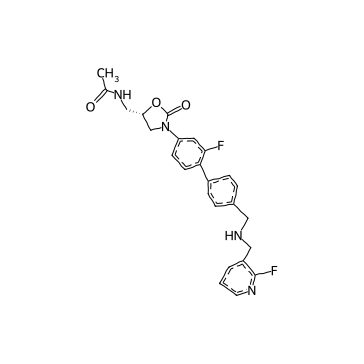 CC(=O)NC[C@H]1CN(c2ccc(-c3ccc(CNCc4cccnc4F)cc3)c(F)c2)C(=O)O1